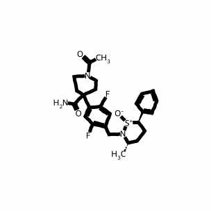 CC(=O)N1CCC(C(N)=O)(c2cc(F)c(CN3[C@@H](C)CC[C@H](c4ccccc4)[S+]3[O-])cc2F)CC1